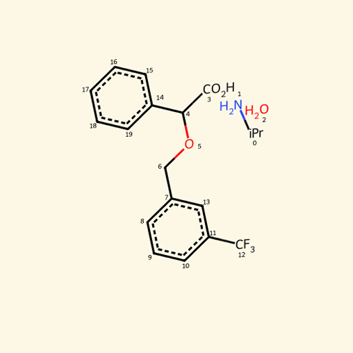 CC(C)N.O.O=C(O)C(OCc1cccc(C(F)(F)F)c1)c1ccccc1